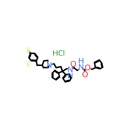 Cl.O=C(CNC(=O)OCc1ccccc1)NCC(CCCN1CCC(Cc2ccc(F)cc2F)CC1)(c1ccccc1)c1ccccc1